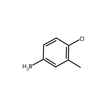 Bc1ccc(Cl)c(C)c1